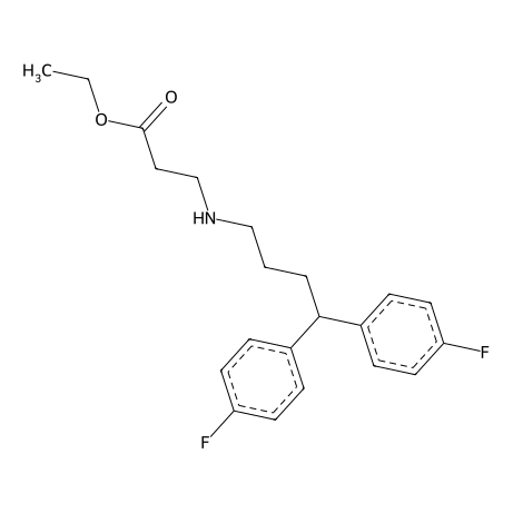 CCOC(=O)CCNCCCC(c1ccc(F)cc1)c1ccc(F)cc1